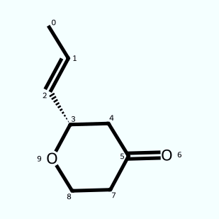 CC=C[C@@H]1CC(=O)CCO1